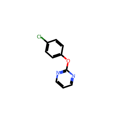 Clc1ccc(Oc2ncccn2)cc1